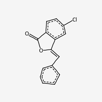 O=C1OC(=Cc2ccccc2)c2cc(Cl)ccc21